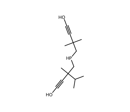 CC(C)C(C)(C#CO)CPCC(C)(C)C#CO